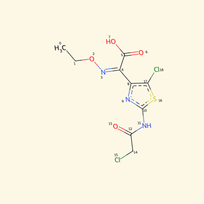 CCON=C(C(=O)O)c1nc(NC(=O)CCl)sc1Cl